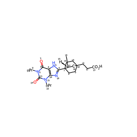 CCCn1c(=O)c2[nH]c(C34CCC(CCC(=O)O)(CC3)C[C@H]4C)nc2n(CCC)c1=O